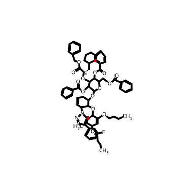 CCCCOC1=CC(OCCCC)C(C)OC1OC1C(OC2OC(COC(=O)c3ccccc3)C(OC(=O)c3ccccc3)C(O[C@@H](CC3CCCCC3)C(=O)OCc3ccccc3)C2OC(=O)c2ccccc2)CC=CC1n1cc(-c2cccc(F)c2)nn1